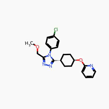 COCc1nnc([C@H]2CC[C@H](Oc3ccccn3)CC2)n1-c1ccc(Cl)cc1